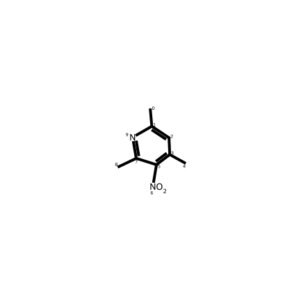 Cc1cc(C)c([N+](=O)[O-])c(C)n1